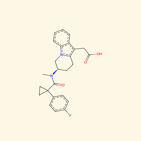 CN(C(=O)C1(c2ccc(F)cc2)CC1)[C@@H]1CCc2c(CC(=O)O)c3ccccc3n2C1